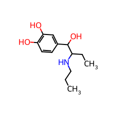 CCCNC(CC)C(O)c1ccc(O)c(O)c1